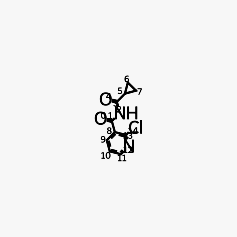 O=C(NC(=O)C1CC1)c1cccnc1Cl